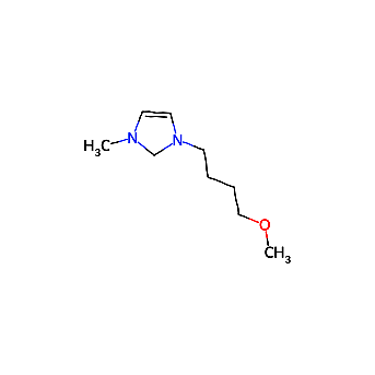 COCCCCN1C=CN(C)C1